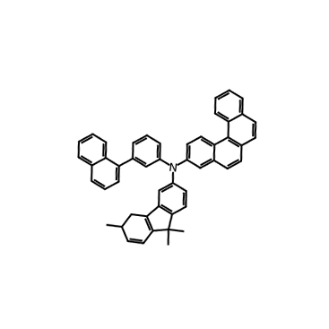 CC1C=CC2=C(C1)c1cc(N(c3cccc(-c4cccc5ccccc45)c3)c3ccc4c(ccc5ccc6ccccc6c54)c3)ccc1C2(C)C